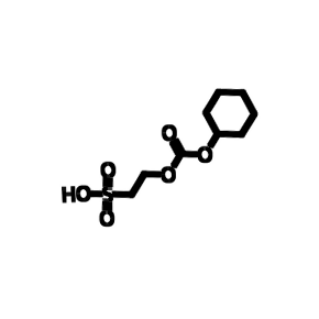 O=C(OCCS(=O)(=O)O)OC1CCCCC1